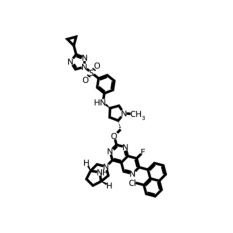 CN1C[C@H](Nc2cccc(S(=O)(=O)n3cnc(C4CC4)n3)c2)C[C@H]1COc1nc(N2C[C@H]3CC[C@@H](C2)N3)c2cnc(-c3cccc4cccc(Cl)c34)c(F)c2n1